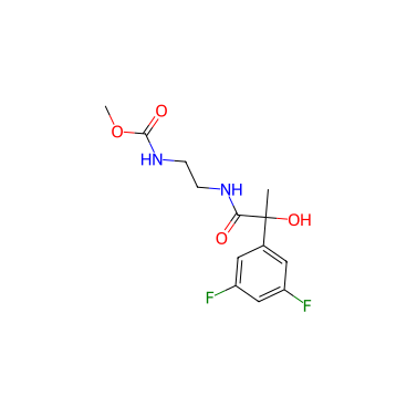 COC(=O)NCCNC(=O)C(C)(O)c1cc(F)cc(F)c1